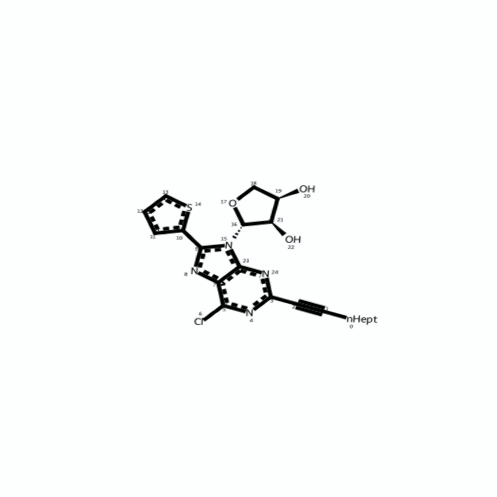 CCCCCCCC#Cc1nc(Cl)c2nc(-c3cccs3)n([C@@H]3OC[C@@H](O)[C@H]3O)c2n1